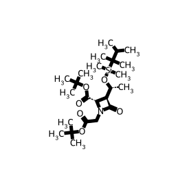 CC(C)C(C)(C)[Si](C)(C)O[C@H](C)[C@H]1C(=O)N(CC(=O)OC(C)(C)C)[C@@H]1C(=O)OC(C)(C)C